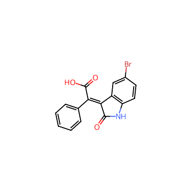 O=C(O)/C(=C1/C(=O)Nc2ccc(Br)cc21)c1ccccc1